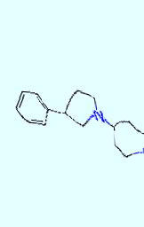 c1ccc(C2CCN(C3CCNCC3)C2)cc1